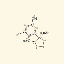 COC1CCCC1(OC)c1cc(O)cc(F)c1